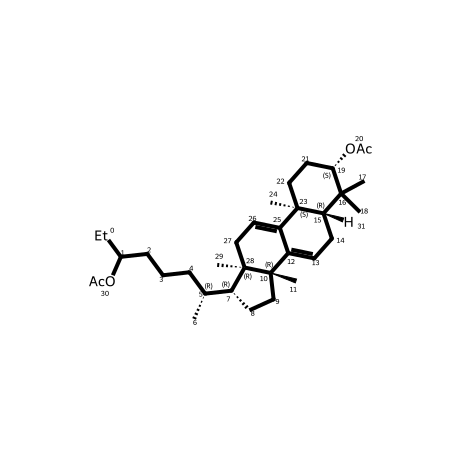 CCC(CCC[C@@H](C)[C@H]1CC[C@@]2(C)C3=CC[C@H]4C(C)(C)[C@@H](OC(C)=O)CC[C@]4(C)C3=CC[C@]12C)OC(C)=O